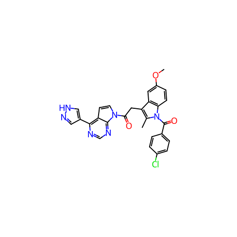 COc1ccc2c(c1)c(CC(=O)n1ccc3c(-c4cn[nH]c4)ncnc31)c(C)n2C(=O)c1ccc(Cl)cc1